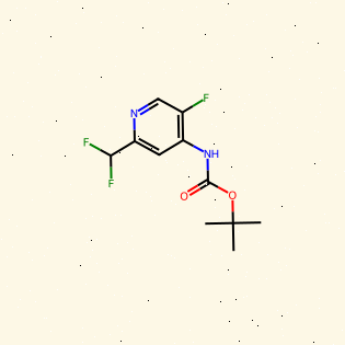 CC(C)(C)OC(=O)Nc1cc(C(F)F)ncc1F